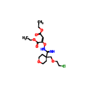 CCOC(=O)C=C(ONC(=N)C1(COCCCl)CCOCC1)C(=O)OCC